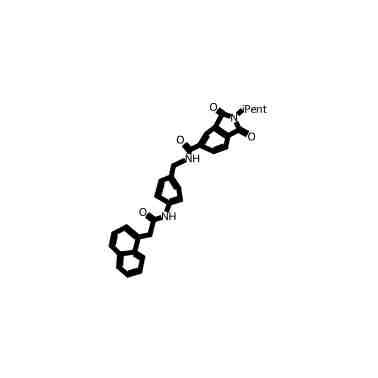 CCCC(C)N1C(=O)c2ccc(C(=O)NCc3ccc(NC(=O)Cc4cccc5ccccc45)cc3)cc2C1=O